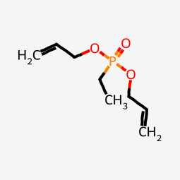 C=CCOP(=O)(CC)OCC=C